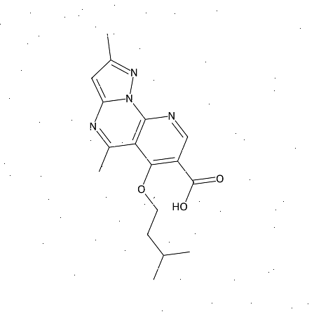 Cc1cc2nc(C)c3c(OCCC(C)C)c(C(=O)O)cnc3n2n1